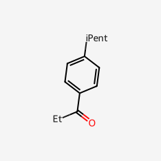 CCCC(C)c1ccc(C(=O)CC)cc1